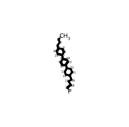 CCCCc1ccc(-c2ccc(C3CCC(CCC=CF)CC3)cc2)cc1